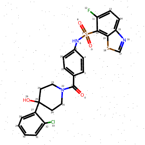 O=C(c1ccc(NS(=O)(=O)c2c(F)ccc3ncsc23)cc1)N1CCC(O)(c2ccccc2Cl)CC1